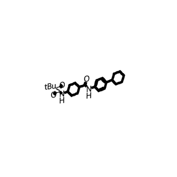 CC(C)(C)S(=O)(=O)NC1CCC(C(=O)Nc2ccc(C3CCCCC3)cc2)CC1